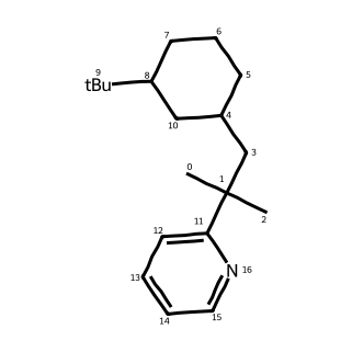 CC(C)(CC1CCCC(C(C)(C)C)C1)c1ccccn1